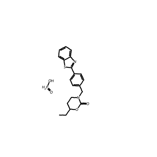 CCC1CCN(Cc2ccc(-c3nc4ccccc4s3)cc2)C(=O)O1.O=[PH2]O